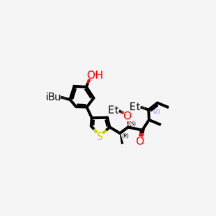 C/C=C(/CC)C(C)C(=O)[C@@H](OCC)[C@@H](C)c1cc(-c2cc(O)cc(C(C)CC)c2)cs1